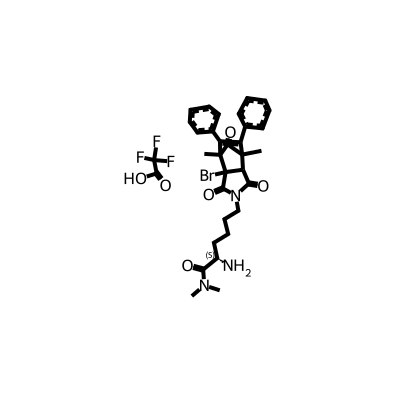 CN(C)C(=O)[C@@H](N)CCCCN1C(=O)C2C3(C)C(=O)C(C)(C(c4ccccc4)=C3c3ccccc3)C2(Br)C1=O.O=C(O)C(F)(F)F